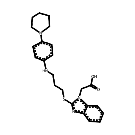 O=C(O)Cn1c(SCCCNc2ccc(N3CCCCC3)cc2)nc2ccccc21